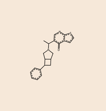 CC(c1cnc2sccn2c1=O)N1CC2CC(c3ccccc3)C2C1